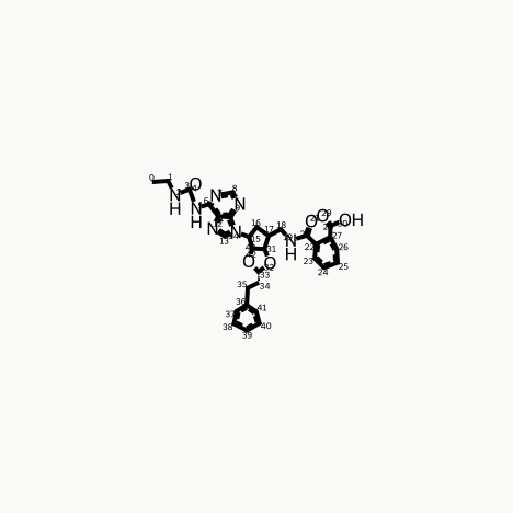 CCNC(=O)Nc1ncnc2c1ncn2C1CC(CNC(=O)c2ccccc2C(=O)O)C2O[C@H](CCc3ccccc3)OC21